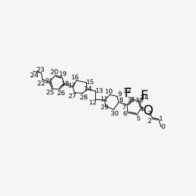 C/C=C/Oc1ccc(C2CCC(CCC3CCC(c4ccc(CCC)cc4)CC3)CC2)c(F)c1F